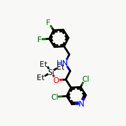 CC[Si](CC)(CC)OC(CNCc1ccc(F)c(F)c1)c1c(Cl)cncc1Cl